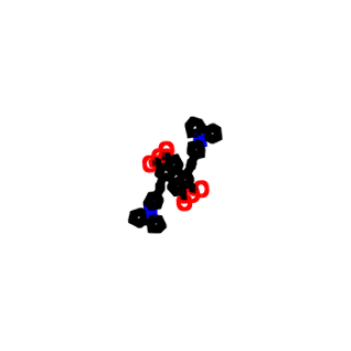 O=C1OC(=O)c2cc(C#Cc3ccc(-n4c5ccccc5c5ccccc54)cc3)c3c4ccc5c6c(cc(C#Cc7ccc(-n8c9ccccc9c9ccccc98)cc7)c(c7ccc1c2c73)c64)C(=O)OC5=O